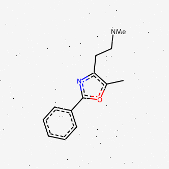 CNCCc1nc(-c2ccccc2)oc1C